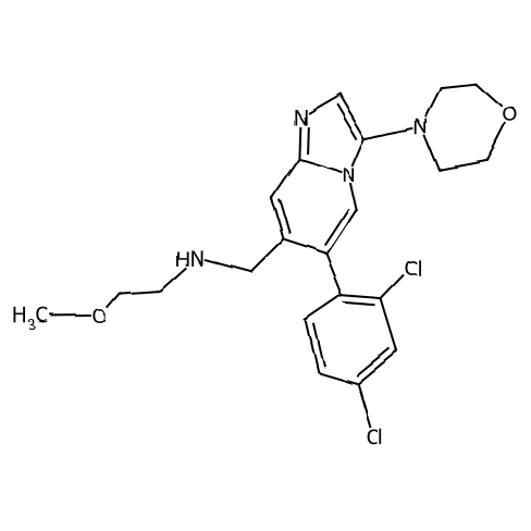 COCCNCc1cc2ncc(N3CCOCC3)n2cc1-c1ccc(Cl)cc1Cl